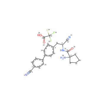 N#Cc1ccc(-c2ccc(CC(C#N)NC(=O)C3(N)CCCC3)cc2)cc1.O=C(O)C(F)(F)F